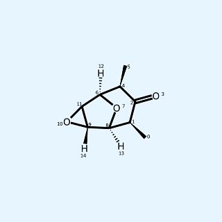 C[C@@H]1C(=O)[C@H](C)[C@H]2O[C@@H]1[C@@H]1OC12